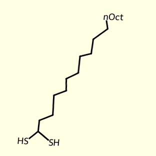 CCCCCCCCCCCCCCCCCCC(S)S